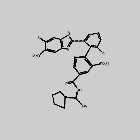 CCCC(NC(=O)c1ccc(-c2c(Cl)cccc2-c2nc3cc(OC)c(F)cc3[nH]2)c(C(=O)O)c1)C1CCCC1